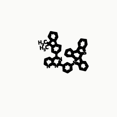 CC1(C)c2ccccc2-c2ccc(-c3nc(-c4cccc(-n5c6ccccc6c6c7sc8ccccc8c7c7ccccc7c65)c4)nc4ncccc34)cc21